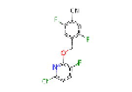 N#Cc1cc(F)c(COc2nc(Cl)ccc2F)cc1F